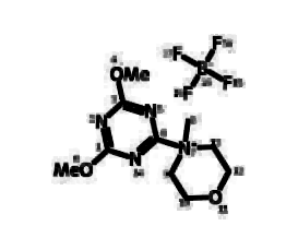 COc1nc(OC)nc([N+]2(C)CCOCC2)n1.F[B-](F)(F)F